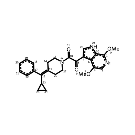 COc1ncc(OC)c2c(C(=O)C(=O)N3CCC(=C(c4ccccc4)C4CC4)CC3)c[nH]c12